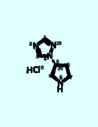 Cl.c1ncn([C@@H]2CCNC2)n1